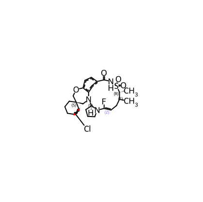 C[C@@H]1[C@@H](C)C/C=C(\F)N2CCC[C@H]2N2C[C@@]3(CCCc4cc(Cl)ccc43)COc3ccc(cc32)C(=O)NS1(=O)=O